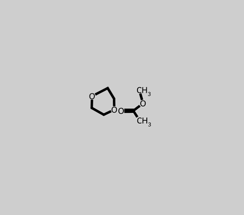 C1COCCO1.COC(C)=O